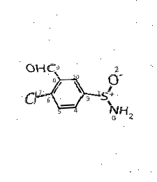 N[S+]([O-])c1ccc(Cl)c(C=O)c1